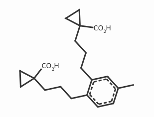 Cc1ccc(CCCC2(C(=O)O)CC2)c(CCCC2(C(=O)O)CC2)c1